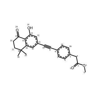 COC(=O)Cc1ccc(C#Cc2cc(O)c3c(c2)C(C)(C)CCC3=O)cc1